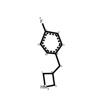 Fc1ccc(CC2CNC2)cc1